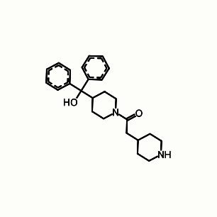 O=C(CC1CCNCC1)N1CCC(C(O)(c2ccccc2)c2ccccc2)CC1